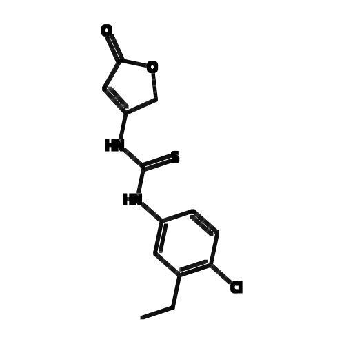 CCc1cc(NC(=S)NC2=CC(=O)OC2)ccc1Cl